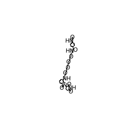 O=CNc1ccc(C(=O)NCCOCCOCCOCCOCCNc2cccc3c2CN(C2CCC(=O)NC2=O)C3=O)cc1